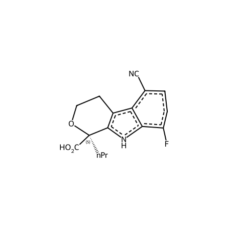 CCC[C@]1(C(=O)O)OCCc2c1[nH]c1c(F)ccc(C#N)c21